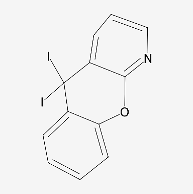 IC1(I)c2ccccc2Oc2ncccc21